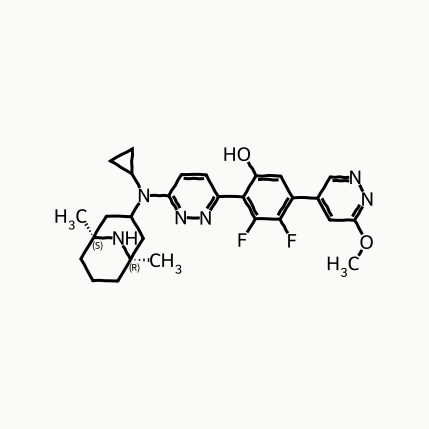 COc1cc(-c2cc(O)c(-c3ccc(N(C4CC4)C4C[C@]5(C)CCC[C@](C)(C4)N5)nn3)c(F)c2F)cnn1